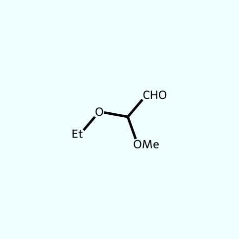 CCOC(C=O)OC